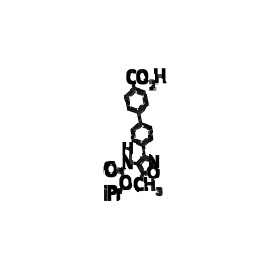 Cc1onc(-c2ccc(-c3ccc(C(=O)O)cc3)cc2)c1NC(=O)OC(C)C